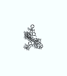 [2H]C([2H])([2H])Oc1ccc(S(=O)(=O)N(C[C@@H](O)[C@H](Cc2ccc(OC([2H])([2H])c3ccccc3)cc2)NC(=O)O[C@]2([2H])[C@@H]3CCO[C@@H]3OC2([2H])[2H])C([2H])([2H])C([2H])(C([2H])([2H])[2H])C([2H])([2H])[2H])cc1F